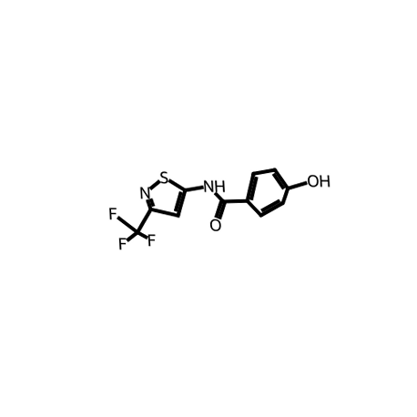 O=C(Nc1cc(C(F)(F)F)ns1)c1ccc(O)cc1